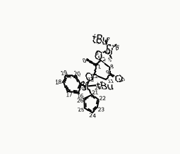 C=C1[C@H](O[Si](C)(C)C(C)(C)C)CC(=O)C[C@H]1O[Si](c1ccccc1)(c1ccccc1)C(C)(C)C